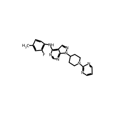 Cc1ccc(Nc2ncnc3c2cnn3C2CCN(c3ncccn3)CC2)c(F)c1